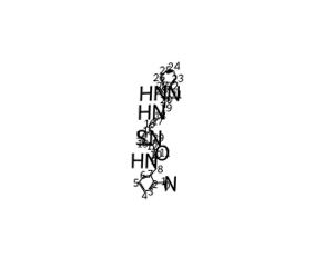 N#Cc1ccccc1CNC(=O)c1csc(CCNCc2nc3ccccc3[nH]2)n1